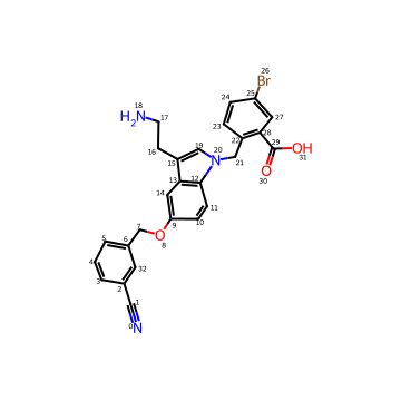 N#Cc1cccc(COc2ccc3c(c2)c(CCN)cn3Cc2ccc(Br)cc2C(=O)O)c1